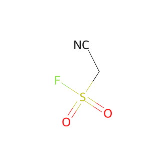 N#CCS(=O)(=O)F